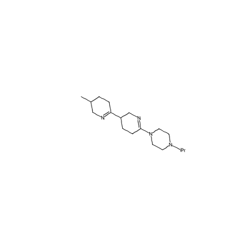 CC1CCC(C2CCC(N3CCN(C(C)C)CC3)=NC2)=NC1